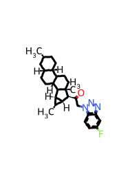 C[C@H]1CC[C@@H]2C3CC[C@@]4(C)C([C@@H]3CC[C@@H]2C1)[C@@H]1[C@H](C)[C@@H]1[C@@H]4C(=O)Cn1nnc2cc(F)ccc21